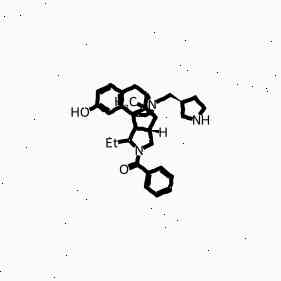 CCC1C2[C@@H](CN1C(=O)c1ccccc1)CC1(C)C3Cc4ccc(O)cc4C21CCN3C[C@H]1CCNC1